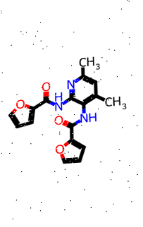 Cc1cc(C)c(NC(=O)c2ccco2)c(NC(=O)c2ccco2)n1